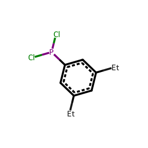 CCc1cc(CC)cc(P(Cl)Cl)c1